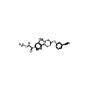 CONC(=O)c1cc(C)c(N2CCC(Oc3cccc(C#N)c3)CC2)nn1